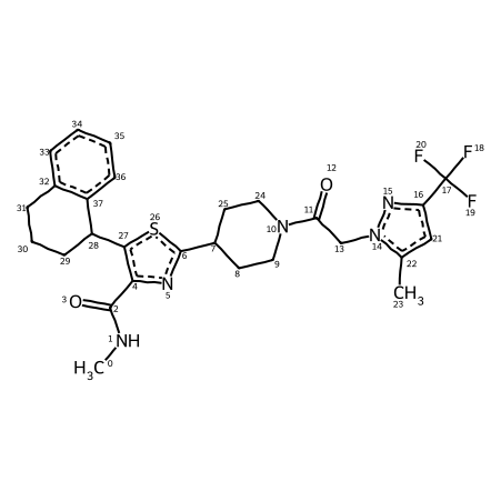 CNC(=O)c1nc(C2CCN(C(=O)Cn3nc(C(F)(F)F)cc3C)CC2)sc1C1CCCc2ccccc21